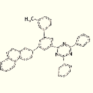 Cc1cccc(-c2cc(-c3ccc4c(ccc5ccccc54)c3)cc(-c3nc(-c4ccccc4)nc(-c4ccccc4)n3)c2)c1